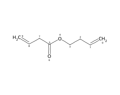 C=CCCOC(=O)CC=C